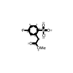 COC(=O)Cc1cc(F)ccc1S(=O)(=O)Cl